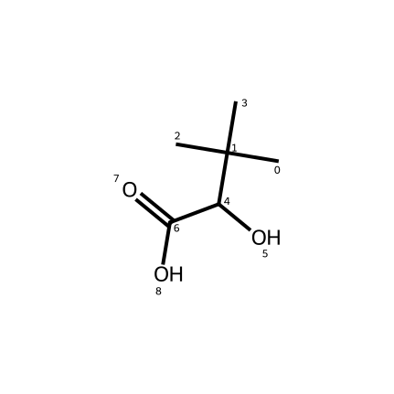 CC(C)(C)C(O)C(=O)O